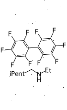 CCCC(C)CNCC.Fc1c(F)c(F)c(-c2c(F)c(F)c(F)c(F)c2F)c(F)c1F